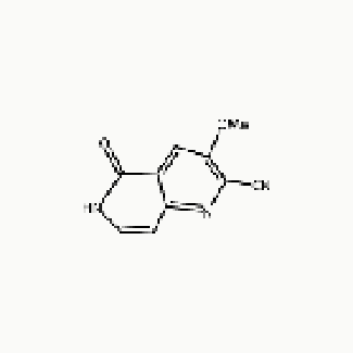 COc1cc2c(=O)[nH]ccc2nc1C#N